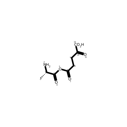 C[C@H](N)C(=O)OC(=O)CCC(=O)C(=O)O